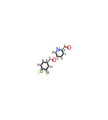 O=Cc1ccc(OCc2ccc(F)c(F)c2)cn1